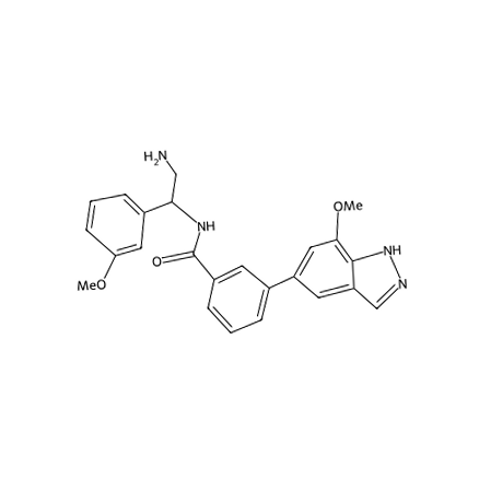 COc1cccc(C(CN)NC(=O)c2cccc(-c3cc(OC)c4[nH]ncc4c3)c2)c1